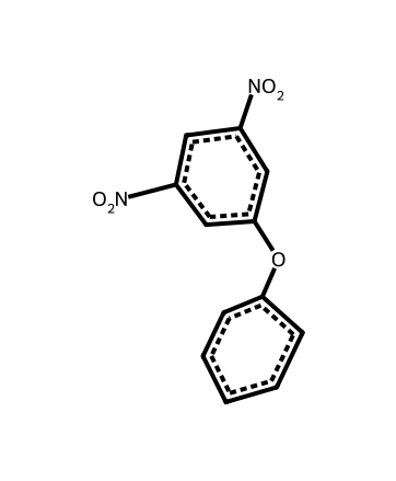 O=[N+]([O-])c1cc(Oc2ccccc2)cc([N+](=O)[O-])c1